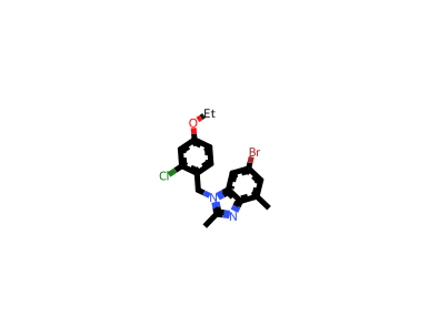 CCOc1ccc(Cn2c(C)nc3c(C)cc(Br)cc32)c(Cl)c1